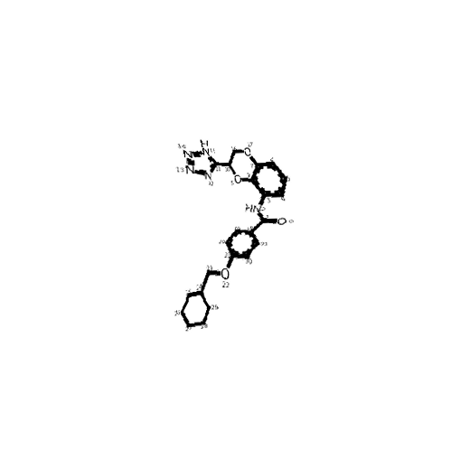 O=C(Nc1cccc2c1OC(c1nnn[nH]1)CO2)c1ccc(OCC2CCCCC2)cc1